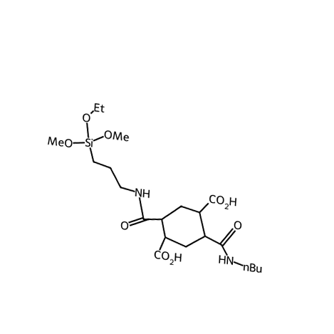 CCCCNC(=O)C1CC(C(=O)O)C(C(=O)NCCC[Si](OC)(OC)OCC)CC1C(=O)O